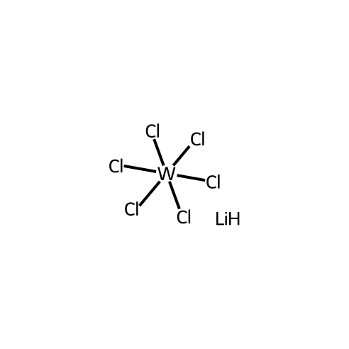 [Cl][W]([Cl])([Cl])([Cl])([Cl])[Cl].[LiH]